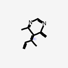 C=C/C(C)=c1\c(C)ncnc1=C